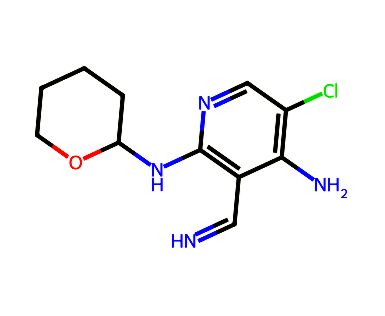 N=Cc1c(NC2CCCCO2)ncc(Cl)c1N